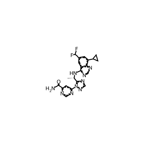 C[C@H](Nc1ncnc2c(C3CC3)cc(C(F)F)cc12)c1ncnn1-c1cc(C(N)=O)ncn1